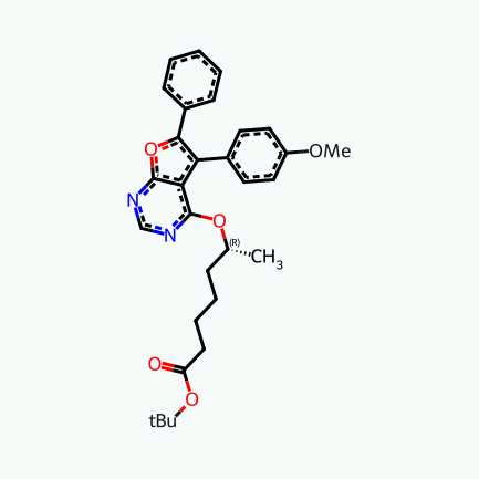 COc1ccc(-c2c(-c3ccccc3)oc3ncnc(O[C@H](C)CCCCC(=O)OC(C)(C)C)c23)cc1